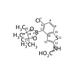 CC1(C)OB(c2c(Cl)ccc3sc(NC(=O)O)cc23)OC1(C)C